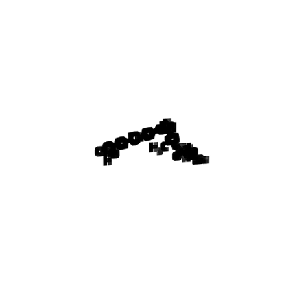 Cc1cc(-c2ncnn3cc(-c4ccc(N5CCC(c6ccc(C7CCC(=O)NC7=O)cc6)CC5)cc4)cc23)ccc1CNC(=O)c1noc(C(C)(C)C)n1